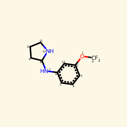 FC(F)(F)Oc1cccc(NC2CCCN2)c1